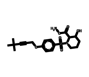 CC(C)(C)C#CCOc1ccc(S(=O)(=O)N2CCCC(O)C2C(=O)ON)cc1